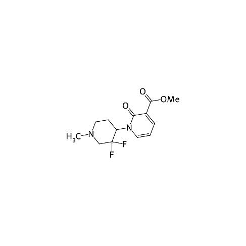 COC(=O)c1cccn(C2CCN(C)CC2(F)F)c1=O